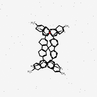 CC1=CC=C(N(C2=CC3=C(CC2)C2=C(C=C(N(C4=CC=C(C)CC4)c4ccc(C)cc4)CC2)C32c3cc(N(C4=CC=C(C)CC4)c4ccc(C)cc4)ccc3-c3ccc(N(C4=CC=C(C)CC4)c4ccc(C)cc4)cc32)c2ccc(C)cc2)CC1